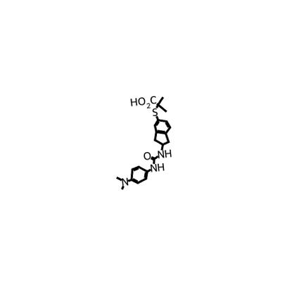 CN(C)c1ccc(NC(=O)NC2Cc3ccc(SC(C)(C)C(=O)O)cc3C2)cc1